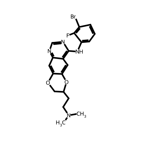 CN(C)CCC1COc2cc3ncnc(Nc4cccc(Br)c4F)c3cc2O1